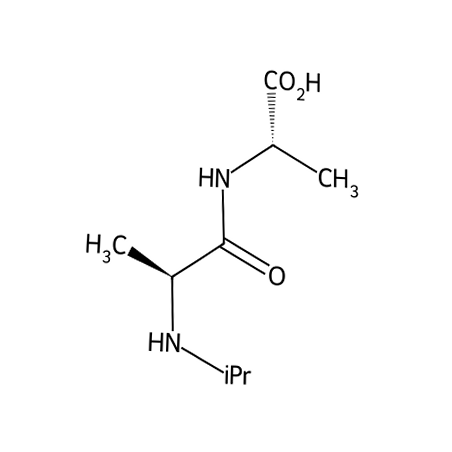 CC(C)N[C@@H](C)C(=O)N[C@@H](C)C(=O)O